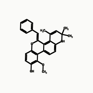 COc1c(O)ccc2c1-c1ccc3c(c1C(=Cc1ccccc1)O2)C(C)=CC(C)(C)N3